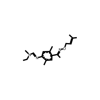 CCN(C)C=Nc1cc(C)c(C(C)=NOCC=C(C)C)cc1C